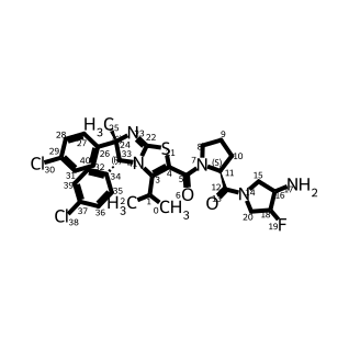 CC(C)C1=C(C(=O)N2CCC[C@H]2C(=O)N2CC(N)C(F)C2)SC2=N[C@@](C)(c3ccc(Cl)cc3)[C@@H](c3ccc(Cl)cc3)N21